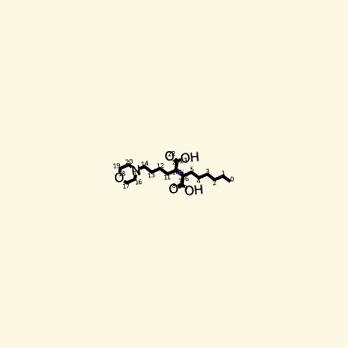 CCCCCC/C(C(=O)O)=C(/CCCCN1CCOCC1)C(=O)O